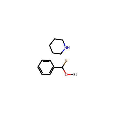 C1CCNCC1.CCOC(Br)c1ccccc1